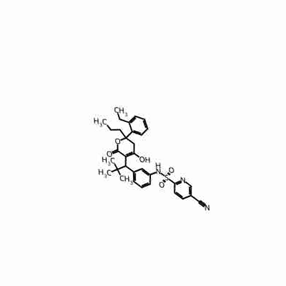 CCCC1(c2ccccc2CC)CC(O)=C(C(c2cccc(NS(=O)(=O)c3ccc(C#N)cn3)c2)C(C)(C)C)C(=O)O1